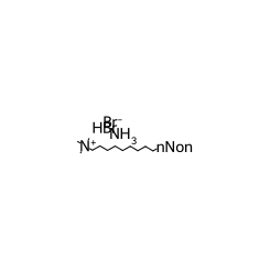 Br.CCCCCCCCCCCCCCCCCC[N+](C)(C)C.N.[Br-]